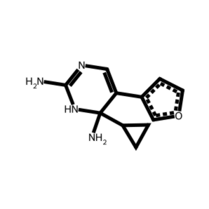 NC1=NC=C(c2ccoc2)C(N)(C2CC2)N1